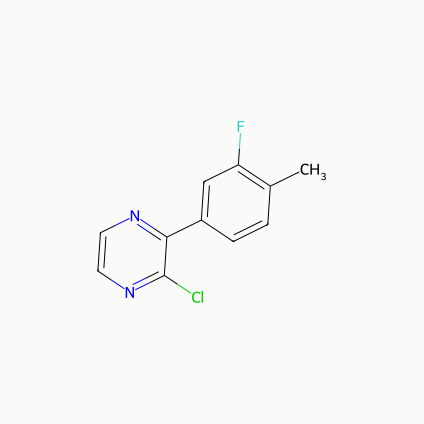 Cc1ccc(-c2nccnc2Cl)cc1F